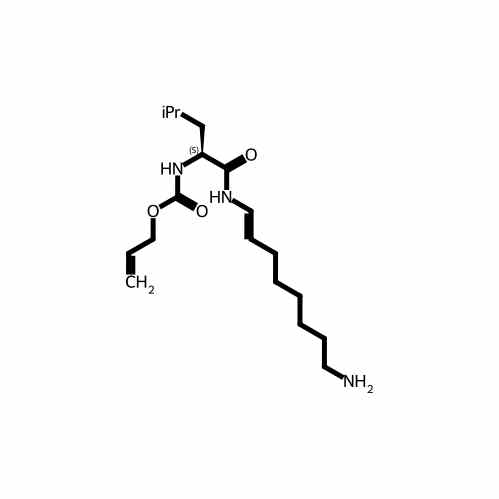 C=CCOC(=O)N[C@@H](CC(C)C)C(=O)NC=CCCCCCCN